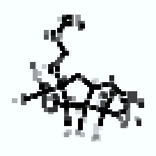 CCC1CC(OCOC)(C(F)(F)F)C(F)(F)C1(F)C(C)(F)F